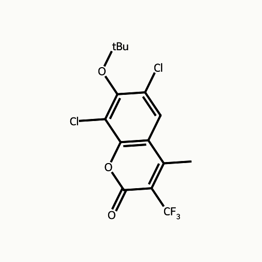 Cc1c(C(F)(F)F)c(=O)oc2c(Cl)c(OC(C)(C)C)c(Cl)cc12